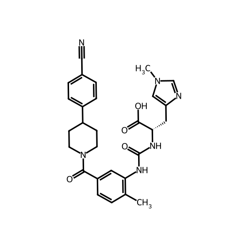 Cc1ccc(C(=O)N2CCC(c3ccc(C#N)cc3)CC2)cc1NC(=O)N[C@@H](Cc1cn(C)cn1)C(=O)O